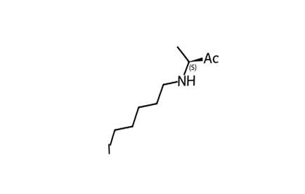 CC(=O)[C@H](C)NCCCCCI